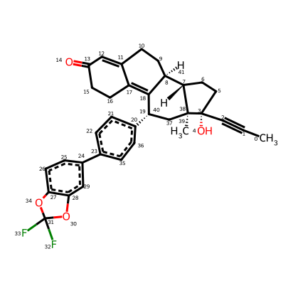 CC#C[C@]1(O)CC[C@H]2[C@@H]3CCC4=CC(=O)CCC4=C3[C@@H](c3ccc(-c4ccc5c(c4)OC(F)(F)O5)cc3)C[C@@]21C